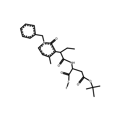 CCC(C(=O)NC(CC(=O)OC(C)(C)C)C(=O)CF)c1c(C)ccn(Cc2ccccc2)c1=O